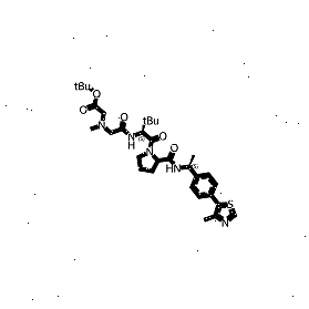 Cc1ncsc1-c1ccc([C@H](C)NC(=O)C2CCCN2C(=O)[C@@H](NC(=O)CN(C)CC(=O)OC(C)(C)C)C(C)(C)C)cc1